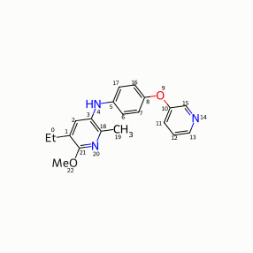 CCc1cc(Nc2ccc(Oc3cccnc3)cc2)c(C)nc1OC